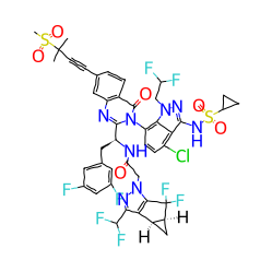 CC(C)(C#Cc1ccc2c(=O)n(-c3ccc(Cl)c4c(NS(=O)(=O)C5CC5)nn(CC(F)F)c34)c([C@H](Cc3cc(F)cc(F)c3)NC(=O)Cn3nc(C(F)F)c4c3C(F)(F)[C@H]3C[C@@H]43)nc2c1)S(C)(=O)=O